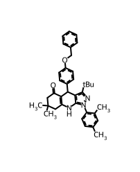 Cc1ccc(-n2nc(C(C)(C)C)c3c2NC2=C(C(=O)CC(C)(C)C2)C3c2ccc(OCc3ccccc3)cc2)c(C)c1